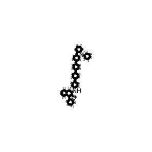 c1ccc(-n2c3ccccc3c3ccc(-c4ccc(-c5ccc(-c6ccc(Nc7cc8ccccc8c8c7oc7ccccc78)cc6)cc5)cc4)cc32)cc1